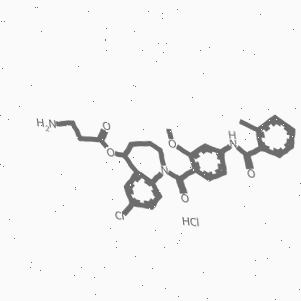 COc1cc(NC(=O)c2ccccc2C)ccc1C(=O)N1CCCC(OC(=O)CCN)c2cc(Cl)ccc21.Cl